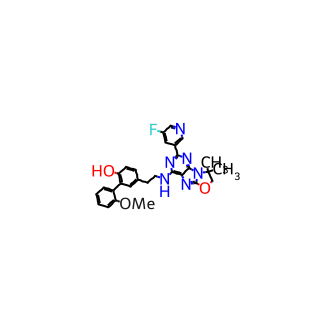 COc1ccccc1-c1cc(CCNc2nc(-c3cncc(F)c3)nc3c2nc2n3C(C)(C)CO2)ccc1O